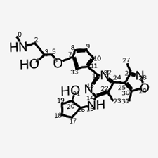 CNCC(O)COc1cccc(-c2nc(NC3CCC[C@H]3O)c(C)c(-c3c(C)noc3C)n2)c1